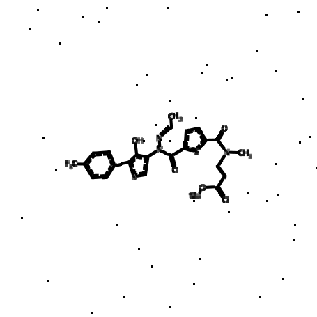 CC=NN(C(=O)c1ccc(C(=O)N(C)CCC(=O)OC(C)(C)C)s1)c1csc(-c2ccc(C(F)(F)F)cc2)c1O